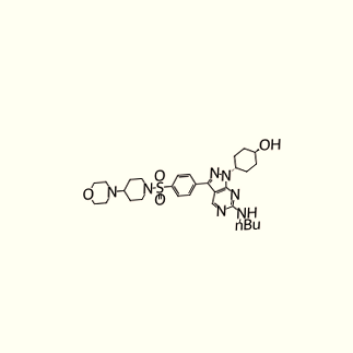 CCCCNc1ncc2c(-c3ccc(S(=O)(=O)N4CCC(N5CCOCC5)CC4)cc3)nn([C@H]3CC[C@H](O)CC3)c2n1